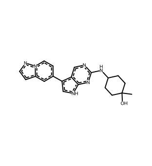 CC1(O)CCC(Nc2ncc3c(-c4ccn5nccc5c4)c[nH]c3n2)CC1